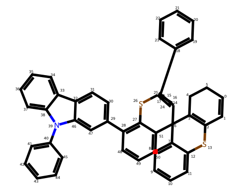 C1=CC2=C(CC1)C1(c3ccccc3S2)c2ccc(-c3ccccc3)cc2Sc2c(-c3ccc4c5ccccc5n(-c5ccccc5)c4c3)cccc21